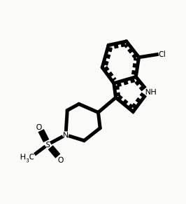 CS(=O)(=O)N1CCC(c2c[nH]c3c(Cl)cccc23)CC1